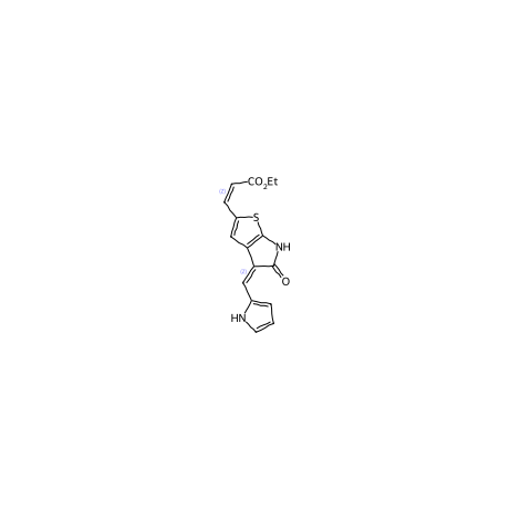 CCOC(=O)/C=C\c1cc2c(s1)NC(=O)/C2=C\c1ccc[nH]1